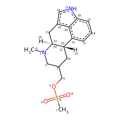 CN1CC(COS(C)(=O)=O)C[C@H]2c3cccc4[nH]cc(c34)C[C@@H]21